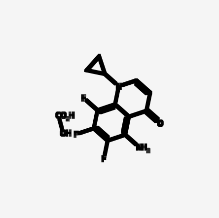 Nc1c(F)c(F)c(F)c2c1c(=O)ccn2C1CC1.O=C(O)O